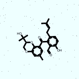 CC(C)=CCc1ccc(O)c(C=O)c1C(=O)c1cc(C)cc2c1OC(C(C)(C)O)CO2